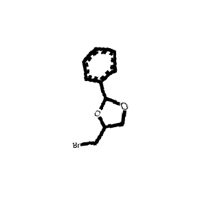 BrCC1COC(c2ccccc2)O1